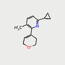 Cc1ccc(C2CC2)nc1C1=CCOCC1